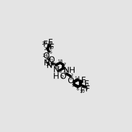 O=C(COc1ccc(C(F)(F)F)c(F)c1)N[C@H]1CC[C@H](c2nnc(OCCC(F)(F)F)o2)NC1